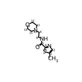 Cc1cnc(C(=O)NCCN2CCOCC2)s1